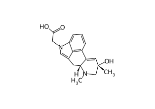 CN1C[C@@](C)(O)C=C2c3cccc4c3c(cn4CC(=O)O)C[C@H]21